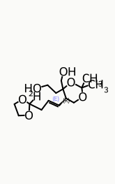 [2H]C1(C/C=C/[C@@H]2COC(C)(C)OC2(CO)CCO)OCCO1